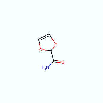 NC(=O)C1O[C]=CO1